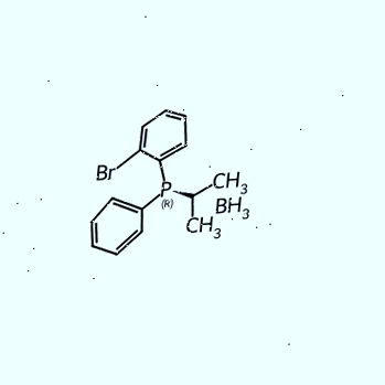 B.CC(C)[P@@](c1ccccc1)c1ccccc1Br